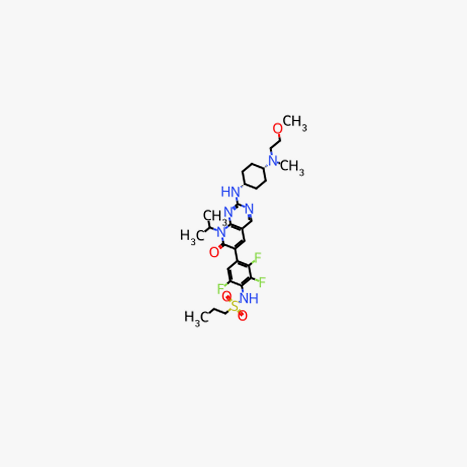 CCCS(=O)(=O)Nc1c(F)cc(-c2cc3cnc(N[C@H]4CC[C@@H](N(C)CCOC)CC4)nc3n(C(C)C)c2=O)c(F)c1F